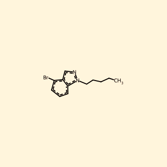 CCCCCn1ncc2c(Br)cccc21